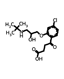 CC(C)(C)NCC(O)COc1cc(Cl)ccc1C(=O)CCC(=O)O